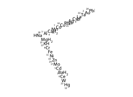 [Ag].[Al].[Au].[BaH2].[CaH2].[Cd].[Ce].[Co].[Cr].[CsH].[Cu].[Fe].[Hg].[KH].[La].[MgH2].[Mn].[Mo].[NaH].[Ni].[Pb].[RbH].[Ta].[W].[Zn]